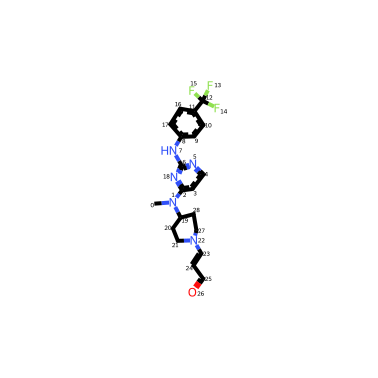 CN(c1ccnc(Nc2ccc(C(F)(F)F)cc2)n1)C1CCN(C=CC=O)CC1